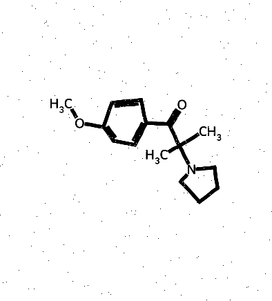 COc1ccc(C(=O)C(C)(C)N2CCCC2)cc1